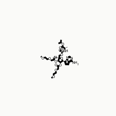 COCCOCC(=O)O[C@H]1[C@H](c2ccc3c(N)ncnn23)O[C@](C#N)(CO[PH](=O)N[C@@H](C)C(=O)OC(C)C)[C@H]1OC(=O)COCCOC